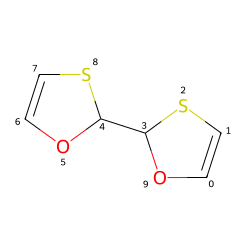 C1=CSC(C2OC=CS2)O1